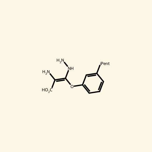 CCCC(C)c1cccc(O/C(NN)=C(/N)C(=O)O)c1